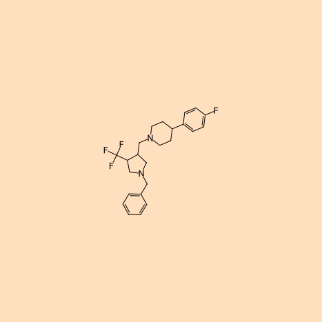 Fc1ccc(C2CCN(CC3CN(Cc4ccccc4)CC3C(F)(F)F)CC2)cc1